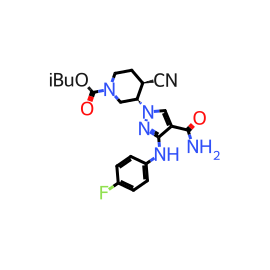 CC(C)COC(=O)N1CC[C@@H](C#N)[C@H](n2cc(C(N)=O)c(Nc3ccc(F)cc3)n2)C1